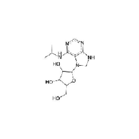 CC(C)Nc1ncnc2c1N(C1OC(CO)C(O)C1O)CN2